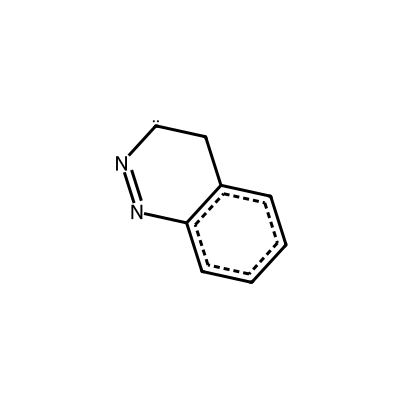 [C]1Cc2ccccc2N=N1